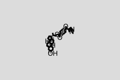 CC(COC(=O)N1CCN(C(=O)c2cnn(C)c2)CC1)[C@H]1CC[C@H]2[C@@H]3CC=C4C[C@@H](O)CC[C@]4(C)[C@H]3CC[C@]12C